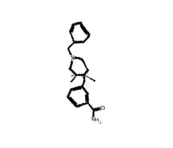 C[C@H]1CN(Cc2ccccc2)CC[C@]1(C)c1cccc(C(N)=O)c1